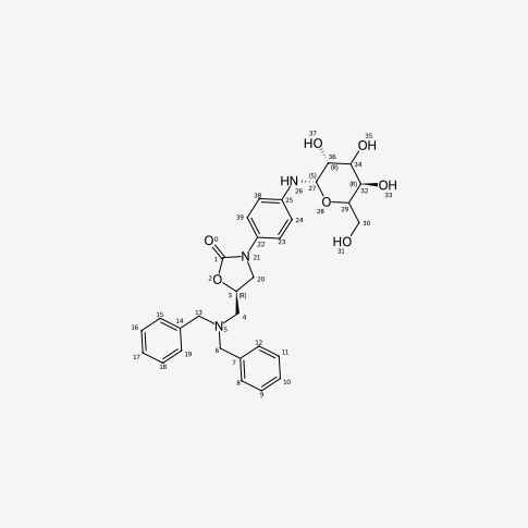 O=C1O[C@H](CN(Cc2ccccc2)Cc2ccccc2)CN1c1ccc(N[C@H]2OC(CO)[C@H](O)C(O)[C@H]2O)cc1